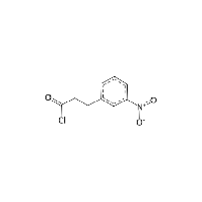 O=C(Cl)CCc1cccc([N+](=O)[O-])c1